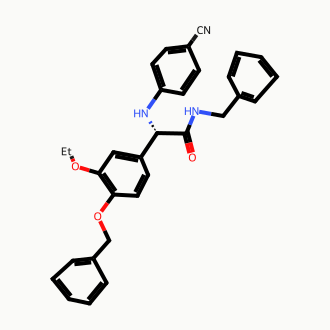 CCOc1cc([C@H](Nc2ccc(C#N)cc2)C(=O)NCc2ccccc2)ccc1OCc1ccccc1